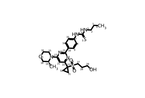 CCCNC(=S)Nc1ccc(-c2nc(N3CCOC[C@@H]3C)cc(C3(S(=O)(=O)CCCO)CC3)n2)cc1